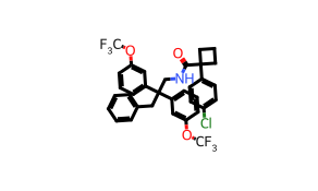 O=C(NCC(Cc1ccccc1)(c1cccc(OC(F)(F)F)c1)c1cccc(OC(F)(F)F)c1)C1(c2ccc(Cl)cc2)CCC1